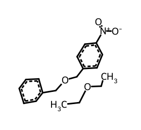 CCOCC.O=[N+]([O-])c1ccc(COCc2ccccc2)cc1